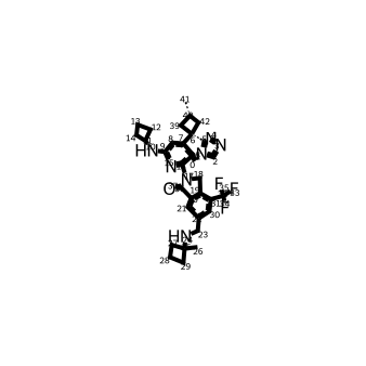 Cn1cnnc1[C@]1(c2cc(NC3CCC3)nc(N3Cc4c(cc(CNC5(C)CCC5)cc4C(F)(F)F)C3=O)c2)C[C@H](C)C1